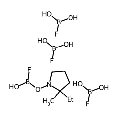 CCC1(C)CCCN1OB(O)F.OB(O)F.OB(O)F.OB(O)F